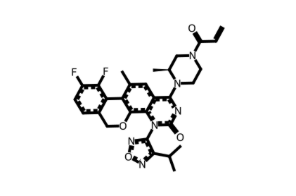 C=CC(=O)N1CCN(c2nc(=O)n(-c3nonc3C(C)C)c3c4c(c(C)cc23)-c2c(ccc(F)c2F)CO4)[C@@H](C)C1